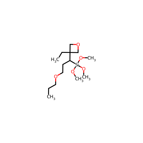 CCCOCCC(C1(CC)COC1)[Si](OC)(OC)OC